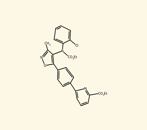 CCOC(=O)c1cccc(-c2ccc(-c3onc(C)c3N(C(=O)OCC)c3ccccc3Cl)cc2)n1